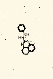 c1ccc(NNC2=NC3CCCc4cccc(c43)N2)cc1